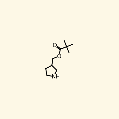 CC(C)(C)C(=O)OCC1CCNC1